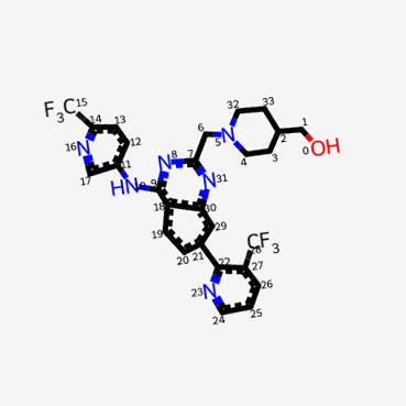 OCC1CCN(Cc2nc(Nc3ccc(C(F)(F)F)nc3)c3ccc(-c4ncccc4C(F)(F)F)cc3n2)CC1